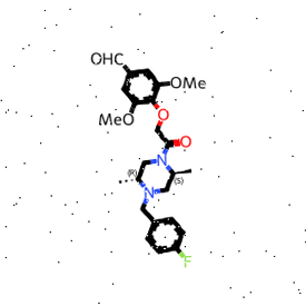 COc1cc(C=O)cc(OC)c1OCC(=O)N1C[C@@H](C)N(Cc2ccc(F)cc2)C[C@@H]1C